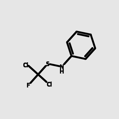 FC(Cl)(Cl)SNc1ccccc1